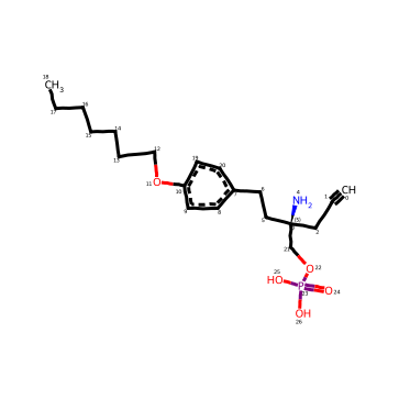 C#CC[C@@](N)(CCc1ccc(OCCCCCCC)cc1)COP(=O)(O)O